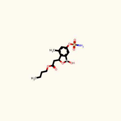 CCCCOC(=O)CC1OB(O)c2cc(OS(N)(=O)=O)cc(C)c21